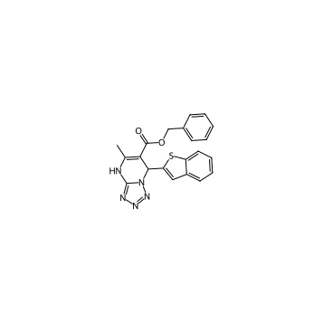 CC1=C(C(=O)OCc2ccccc2)C(c2cc3ccccc3s2)n2nnnc2N1